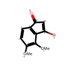 COc1ccc2c(c1OC)C(Br)=CC2=O